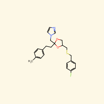 Cc1ccc(CCC2(Cn3ccnc3)OCC(CSCc3ccc(F)cc3)O2)cc1